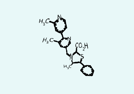 CC1=C(c2ccccc2)SC(C(=O)O)N1Cc1cnc(-c2ccnc(C)c2)c(C)c1